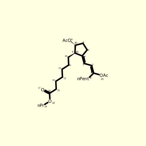 CCCCCC(=CC=C1CC[C@@H](OC(C)=O)[C@@H]1CCCCCCC(=O)OCCC)OC(C)=O